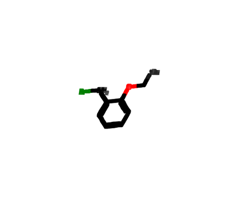 CC(C)(C)COc1ccccc1[SiH2]Br